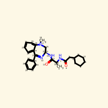 C[C@H](NC(=O)CC1CCCCC1)C(=O)N[C@@H]1CN(C)c2ccccc2C(c2ccccc2)=N1